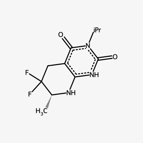 CC(C)n1c(=O)[nH]c2c(c1=O)CC(F)(F)[C@@H](C)N2